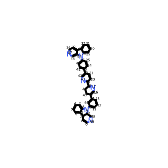 C1=CC2c3ccccc3N(c3cccc(C4=CN=C(c5ccc(-c6ccc(-n7c8ccccc8c8ccncc87)cc6)cn5)CC4)c3)C2C=N1